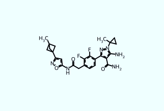 CC12CC(c3cc(NC(=O)Cc4ccc(-c5nn(C6(C)CC6)c(N)c5C(N)=O)c(F)c4F)on3)(C1)C2